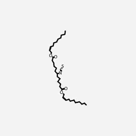 CCCCCCCC/C=C\COC(=O)CCCCCC(CCCCCC(=O)OC/C=C\CCCCCCCC)N=C=S